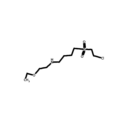 CCOCCNCCCCS(=O)(=O)CCCl